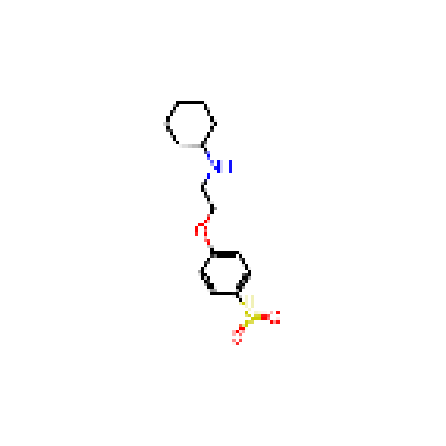 O=[SH](=O)c1ccc(OCCNC2CCCCC2)cc1